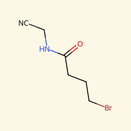 N#CCNC(=O)CCCBr